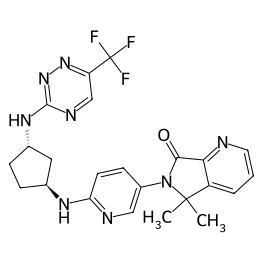 CC1(C)c2cccnc2C(=O)N1c1ccc(N[C@H]2CC[C@H](Nc3ncc(C(F)(F)F)nn3)C2)nc1